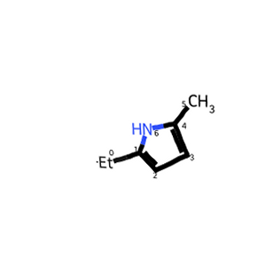 C[CH]c1ccc(C)[nH]1